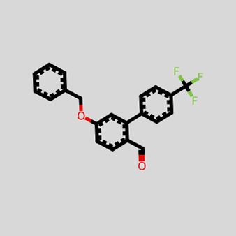 O=Cc1ccc(OCc2ccccc2)cc1-c1ccc(C(F)(F)F)cc1